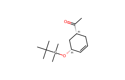 CC(=O)[C@@H]1CC=C[C@H](O[Si](C)(C)C(C)(C)C)C1